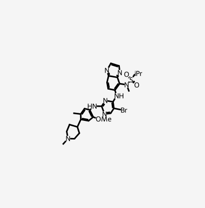 COc1cc(C2CCN(C)CC2)c(C)cc1Nc1ncc(Br)c(Nc2ccc3nccnc3c2N(C)S(=O)(=O)C(C)C)n1